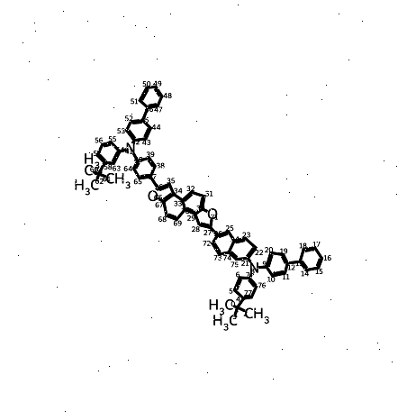 CC(C)(C)c1ccc(N(c2ccc(-c3ccccc3)cc2)c2ccc3cc(-c4cc5c(ccc6c7cc(-c8ccc(N(c9ccc(-c%10ccccc%10)cc9)c9cccc(C(C)(C)C)c9)cc8)oc7ccc56)o4)ccc3c2)cc1